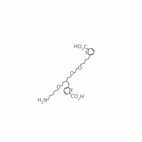 NCCCCCOCCC(CCOCCOCCCCc1cccc(C(=O)O)n1)Cc1cccc(C(=O)O)n1